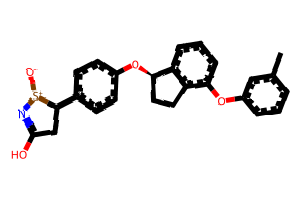 Cc1cccc(Oc2cccc3c2CC[C@H]3Oc2ccc(C3CC(O)=N[S+]3[O-])cc2)c1